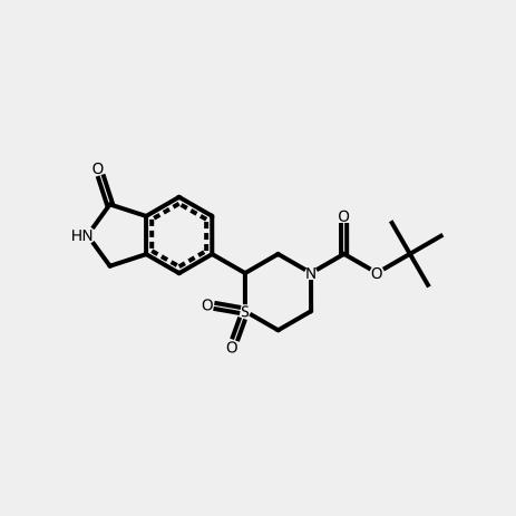 CC(C)(C)OC(=O)N1CCS(=O)(=O)C(c2ccc3c(c2)CNC3=O)C1